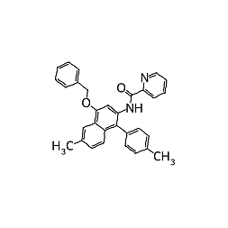 Cc1ccc(-c2c(NC(=O)c3ccccn3)cc(OCc3ccccc3)c3cc(C)ccc23)cc1